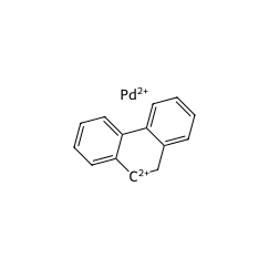 [C+2]1Cc2ccccc2-c2ccccc21.[Pd+2]